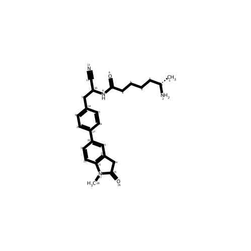 C[C@H](N)CCCCC(=O)NC(C#N)Cc1ccc(-c2ccc3c(c2)CC(=O)N3C)cc1